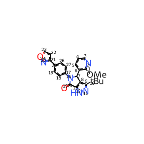 COc1ncccc1C1c2c(C(C)(C)C)n[nH]c2C(=O)N1c1ccc(-c2ccon2)cc1